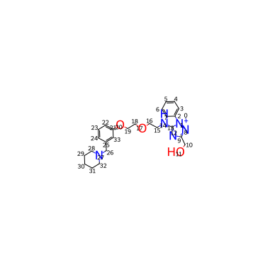 C[N+]1(c2ccccc2)N=C(CO)N=C1NCCOCCOc1cccc(CN2CCCCC2)c1